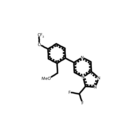 COCc1cc(OC(F)(F)F)ccc1-c1cn2c(C(F)F)nnc2cn1